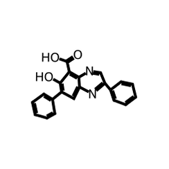 O=C(O)c1c(O)c(-c2ccccc2)cc2nc(-c3ccccc3)cnc12